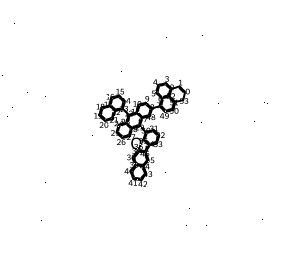 C1=Cc2cccc3c(-c4ccc5c(-c6cccc7ccccc67)c6ccccc6c(-c6cccc7c6oc6cc8ccccc8cc67)c5c4)ccc(c23)C1